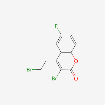 O=c1oc2ccc(F)cc2c(CCBr)c1Br